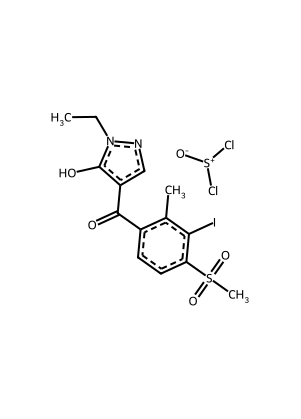 CCn1ncc(C(=O)c2ccc(S(C)(=O)=O)c(I)c2C)c1O.[O-][S+](Cl)Cl